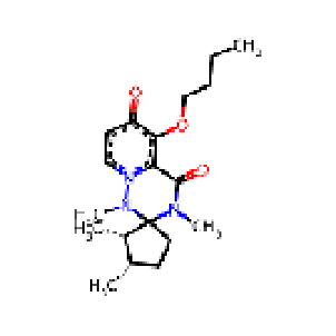 CCCCOc1c2n(ccc1=O)N(C)C1(CC[C@H](C)[C@@H]1C)N(C)C2=O